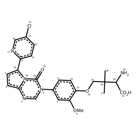 COc1cc(-n2cnc3ccc(-c4ccc(Cl)cn4)n3c2=O)ccc1OCC(C)(C)C(N)C(=O)O